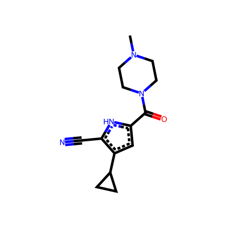 CN1CCN(C(=O)c2cc(C3CC3)c(C#N)[nH]2)CC1